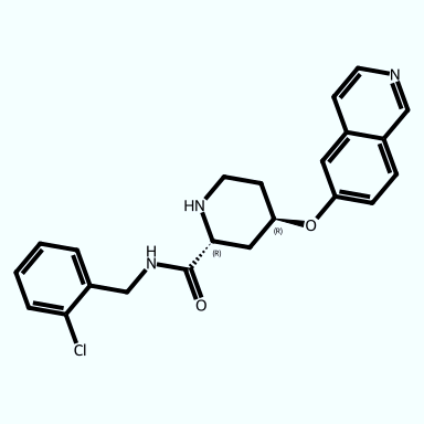 O=C(NCc1ccccc1Cl)[C@H]1C[C@H](Oc2ccc3cnccc3c2)CCN1